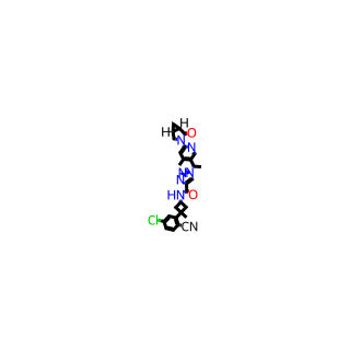 Cc1cc(N2C[C@H]3C[C@H]3C2=O)ncc1C(C)n1cc(C(=O)NC2CC(C)(c3cc(Cl)ccc3C#N)C2)nn1